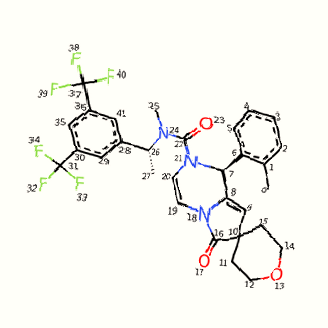 Cc1ccccc1[C@H]1C2=CC3(CCOCC3)C(=O)N2C=CN1C(=O)N(C)[C@H](C)c1cc(C(F)(F)F)cc(C(F)(F)F)c1